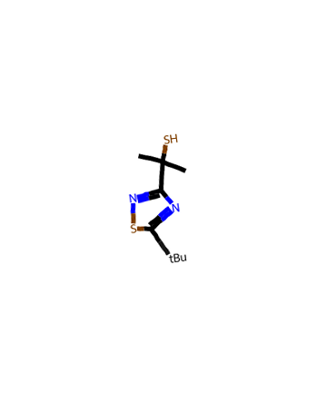 CC(C)(C)c1nc(C(C)(C)S)ns1